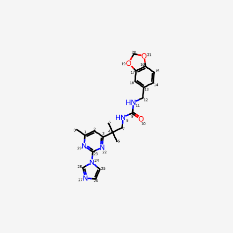 Cc1cc(C(C)(C)CNC(=O)NCc2ccc3c(c2)OCO3)nc(-n2ccnc2)n1